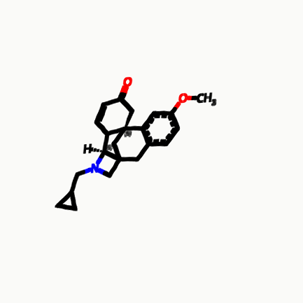 COc1ccc2c(c1)[C@@]13CC(=O)C=CC1[C@@H]1N(CC4CC4)CC1(C2)C3